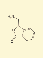 NCC1OC(=O)c2ccccc21